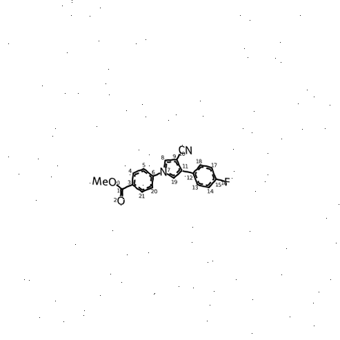 COC(=O)c1ccc(-n2cc(C#N)c(-c3ccc(F)cc3)c2)cc1